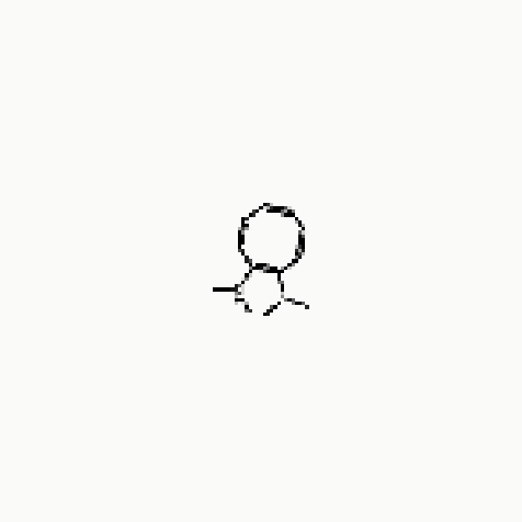 CN(C)C1=C([SiH](C)C)C=CC=CC=C1